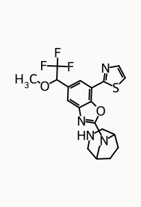 COC(c1cc(-c2nccs2)c2oc(N3CC4CCC3CNC4)nc2c1)C(F)(F)F